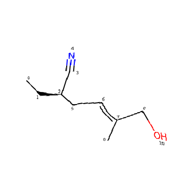 CC[C@@H](C#N)C/C=C(\C)CO